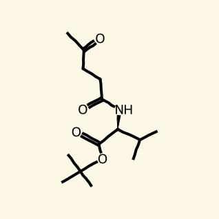 CC(=O)CCC(=O)N[C@H](C(=O)OC(C)(C)C)C(C)C